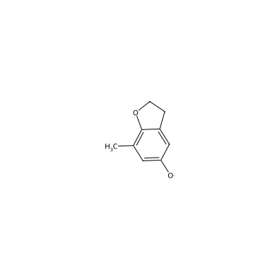 Cc1cc([O])cc2c1OCC2